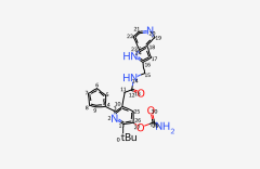 CC(C)(C)c1nc(-c2ccccc2)c(CC(=O)NCc2cc3cnccc3[nH]2)cc1OC(N)=O